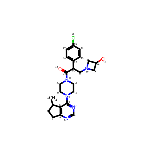 CC1CCc2ncnc(N3CCN(C(=O)C(CN4CC(O)C4)c4ccc(Cl)cc4)CC3)c21